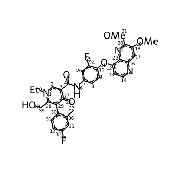 CCn1cc(C(=O)Nc2ccc(Oc3ccnc4cc(OC)c(OC)nc34)c(F)c2)c(=O)c(-c2ccc(F)cc2C)c1CO